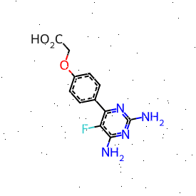 Nc1nc(N)c(F)c(-c2ccc(OCC(=O)O)cc2)n1